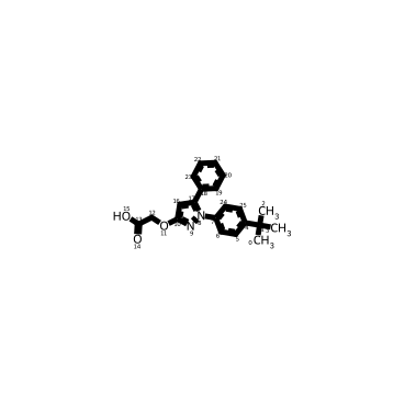 CC(C)(C)c1ccc(-n2nc(OCC(=O)O)cc2-c2ccccc2)cc1